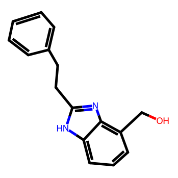 OCc1cccc2[nH]c(CCc3ccccc3)nc12